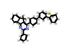 CC1(C)c2ccccc2-c2nc(-c3ccccc3)nc(-c3ccc(-c4ccc5sc6ccccc6c5c4)cc3)c21